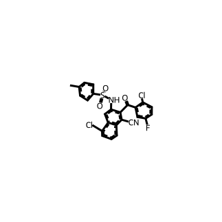 Cc1ccc(S(=O)(=O)Nc2cc3c(Cl)cccc3c(C#N)c2C(=O)c2cc(F)ccc2Cl)cc1